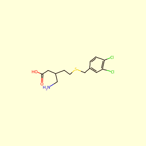 NCC(CCSCc1ccc(Cl)c(Cl)c1)CC(=O)O